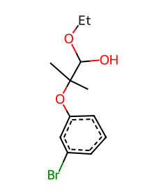 CCOC(O)C(C)(C)Oc1cccc(Br)c1